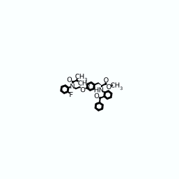 C=C(C)C(=O)N(CCOc1ccc(C[C@H](Nc2ccccc2C(=O)c2ccccc2)C(=O)OC)cc1)c1ccccc1F